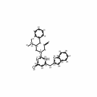 C=CCN(CC(Cc1ccccc1)N(C)C)c1nc(=O)cc(Cc2cc3ccccc3s2)[nH]1